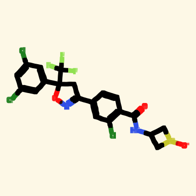 O=C(NC1C[S+]([O-])C1)c1ccc(C2=NOC(c3cc(Cl)cc(Cl)c3)(C(F)(F)F)C2)cc1Cl